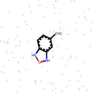 O=Cc1ccc2c(c1)NON2